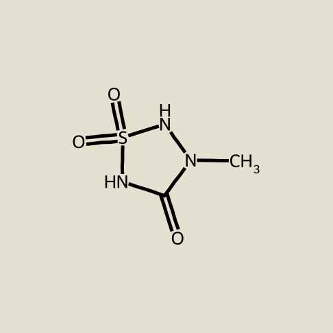 CN1NS(=O)(=O)NC1=O